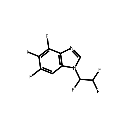 Fc1cc2c(ncn2C(F)C(F)F)c(F)c1I